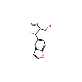 CNC(CO)C(F)c1ccc2occc2c1